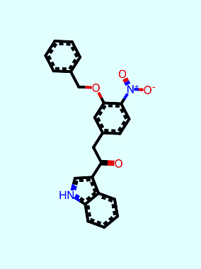 O=C(Cc1ccc([N+](=O)[O-])c(OCc2ccccc2)c1)c1c[nH]c2ccccc12